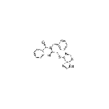 O=c1c2ccccc2nc(CSc2ncnc3[nH]cnc23)n1Cc1ccccc1